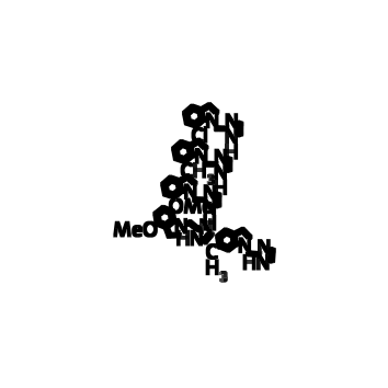 COc1cccc2c1CCN2Cc1ncc[nH]1.COc1cccc2c1N(Cc1ncc[nH]1)CC2.Cc1ccc2c(c1)N(Cc1ncc[nH]1)CC2.Cc1cccc2c1N(Cc1ncc[nH]1)CC2.Clc1cccc2c1N(Cc1ncc[nH]1)CC2